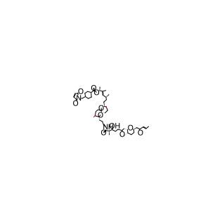 C/C=C/C(=O)C[C@H]1CC[C@H](C)[C@H](CC(=O)CC[C@@H](O)[C@@H](C)C(=O)NCCC[C@H]2O[C@@]3(CCC[C@H](CC[C@H](C)/C=C(\C)[C@H](C)OC(=O)C4CCC(CN5C(=O)C=CC5=O)CC4)O3)CC[C@@H]2C)O1